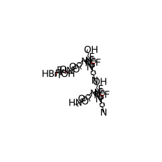 Br.Cc1cc(C[N+]2=C[N+](CCCCO)(c3ccc(F)cc3F)N(c3nc(-c4ccc(C#N)cc4)cs3)C2)cc(C)c1OC(=O)CNC(C)C.Cc1cc(C[N+]2=C[N+](CCCCO)(c3ccc(F)cc3F)N(c3nc(-c4ccc(C#N)cc4)cs3)C2)cc(C)c1OC(=O)CNC(C)C.O=C(O)C(F)(F)F